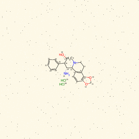 CN1CCc2c(ccc3c2OCO3)C1[C@H](N)C(CO)c1ccccc1.Cl.Cl